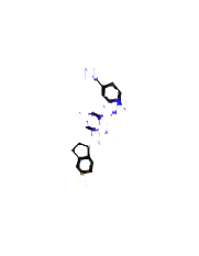 N#Cc1ccc2ncn(-c3cncc(NC4CCc5cc(Br)ccc54)n3)c2c1